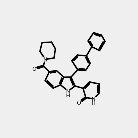 O=C(c1ccc2[nH]c(-c3ccc[nH]c3=O)c(-c3ccc(-c4ccccc4)cc3)c2c1)N1CCCCC1